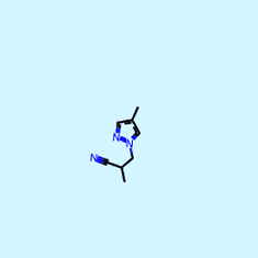 Cc1cnn(CC(C)C#N)c1